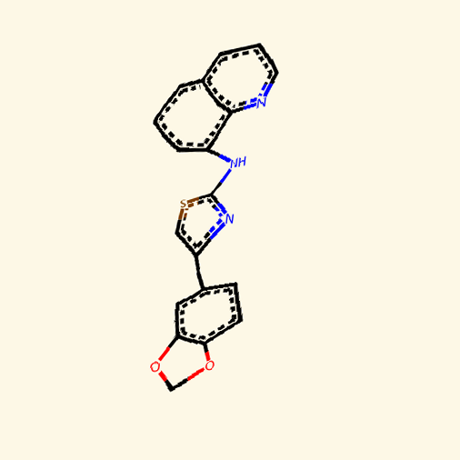 c1cnc2c(Nc3nc(-c4ccc5c(c4)OCO5)cs3)cccc2c1